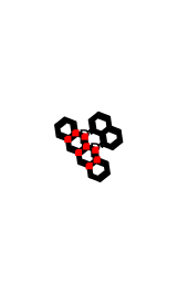 C1=CCCC(P(c2ccccc2)c2cccc3cccc(P(c4ccccc4)c4ccccc4)c23)=C1